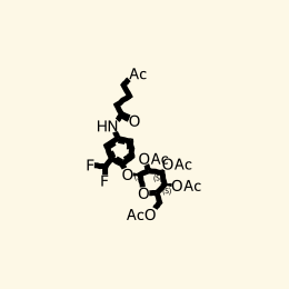 CC(=O)CCCC(=O)Nc1ccc(O[C@@H]2OC(COC(C)=O)[C@H](OC(C)=O)[C@H](OC(C)=O)C2OC(C)=O)c(C(F)F)c1